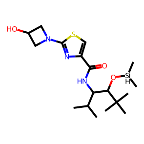 CC(C)C(NC(=O)c1csc(N2CC(O)C2)n1)C(O[SiH](C)C)C(C)(C)C